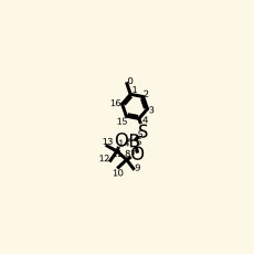 Cc1ccc(SB2OC(C)(C)C(C)(C)O2)cc1